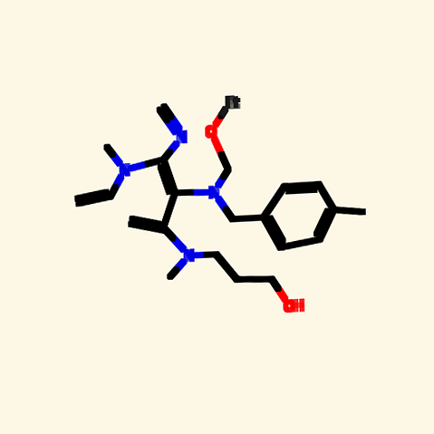 C=CN(C)/C(N=C)=C(\C(=C)N(C)CCCO)N(COCC)Cc1ccc(C)cc1